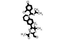 CC(=O)N1N=C(c2ccc3c(c2)CCCN3C(=NC(C)C)c2ccc(Cl)cc2Cl)C(C)(C)SC1C=O